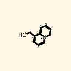 OCC1=CC=CN2CC=CC=C12